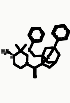 CC1(C)CN(C(=O)C23CC4CC(c5ccccc5)(CC2(CSc2ccccc2)C4)C3)CC[C@@H]1N